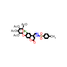 CC(=O)OC[C@H]1O[C@@H](Oc2cc3oc(=O)cc(/C=N\NS(=O)(=O)c4ccc(C)cc4)c3cc2Br)[C@H](OC(C)=O)[C@@H](OC(C)=O)[C@H]1OC(C)=O